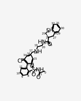 CC(=O)NS(=O)(=O)c1ccccc1-c1ccc(CNCCNC(=O)[C@@H](CS)Cc2ccccc2)cc1Cl